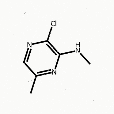 CNc1nc(C)cnc1Cl